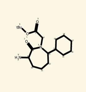 CC(C)(C)OC(=O)CN1C(=O)C(N)CCCC1C1CCCCC1